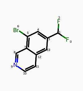 FC(F)c1cc(Br)c2cnccc2c1